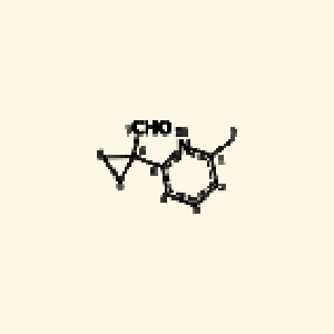 Cc1cccc(C2(C=O)CC2)n1